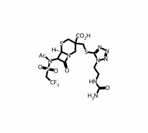 CC(=O)N(C1C(=O)N2CC(CSc3nnnn3CCNC(N)=O)(C(=O)O)CS[C@H]12)S(=O)(=O)CC(F)(F)F